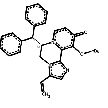 C=Cc1cnc2n1C[C@H](C(c1ccccc1)c1ccccc1)n1ccc(=O)c(OCCCC)c1-2